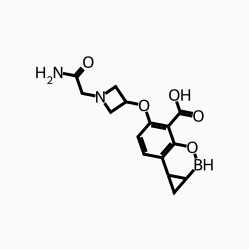 NC(=O)CN1CC(Oc2ccc3c(c2C(=O)O)OBC2CC32)C1